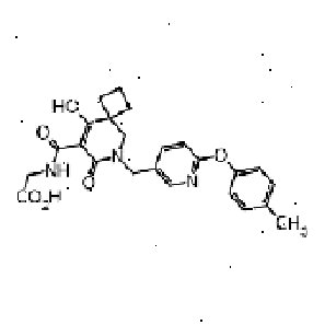 Cc1ccc(Oc2ccc(CN3CC4(CCC4)C(O)=C(C(=O)NCC(=O)O)C3=O)cn2)cc1